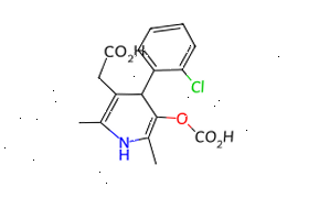 CC1=C(CC(=O)O)C(c2ccccc2Cl)C(OC(=O)O)=C(C)N1